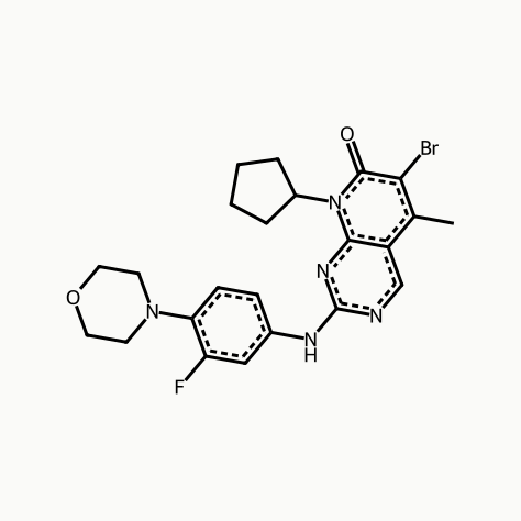 Cc1c(Br)c(=O)n(C2CCCC2)c2nc(Nc3ccc(N4CCOCC4)c(F)c3)ncc12